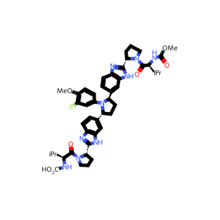 COC(=O)N[C@H](C(=O)N1CCC[C@H]1c1nc2ccc([C@H]3CC[C@H](c4ccc5nc([C@@H]6CCCN6C(=O)[C@@H](NC(=O)O)C(C)C)[nH]c5c4)N3c3ccc(OC)c(F)c3)cc2[nH]1)C(C)C